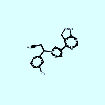 C#CCC(c1cccc(C#N)c1)n1cc(-c2ncnc3c2CCN3)cn1